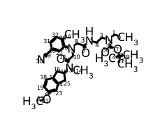 CCN(CCNC(=O)CN(CC(=O)N(C)C1Cc2ccc(OC)cc2C1)c1cc(C#N)ccc1C)C(=O)OC(C)(C)C